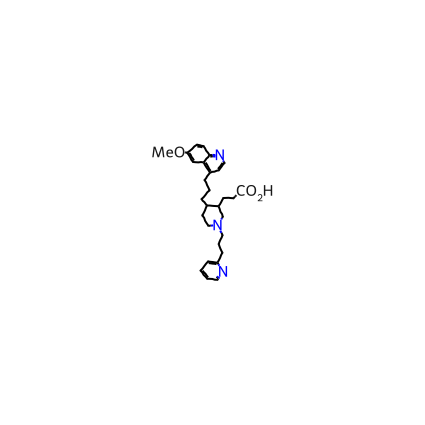 COc1ccc2nccc(CCCC3CCN(CCCc4ccccn4)CC3CCC(=O)O)c2c1